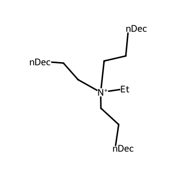 CCCCCCCCCCCC[N+](CC)(CCCCCCCCCCCC)CCCCCCCCCCCC